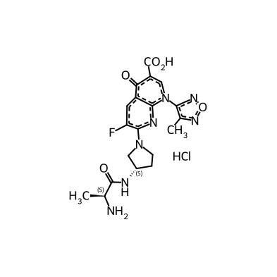 Cc1nonc1-n1cc(C(=O)O)c(=O)c2cc(F)c(N3CC[C@H](NC(=O)[C@H](C)N)C3)nc21.Cl